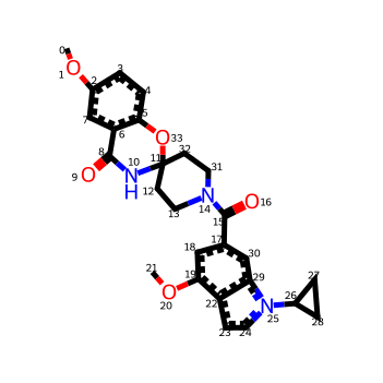 COc1ccc2c(c1)C(=O)NC1(CCN(C(=O)c3cc(OC)c4ccn(C5CC5)c4c3)CC1)O2